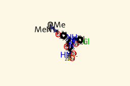 CN/C(=C\C=C\Oc1ccc(Nc2cc(=O)n(C[C@H](C)C(=O)N[S+](C)[O-])c(=O)n2Cc2ccc(Cl)cc2)cc1)OC